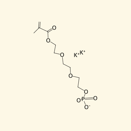 C=C(C)C(=O)OCCOCCOCCOP(=O)([O-])[O-].[K+].[K+]